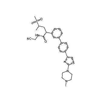 CC(CC(C(=O)NCC#N)c1cccc(-c2ccc(-c3csc(N4CCN(C)CC4)n3)cc2)c1)S(C)(=O)=O